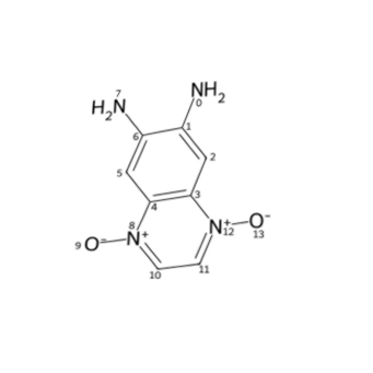 Nc1cc2c(cc1N)[n+]([O-])cc[n+]2[O-]